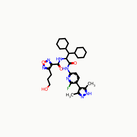 Cc1n[nH]c(C)c1-c1ccc(NC(=O)C(NC(=O)c2nonc2CCCO)C(C2CCCCC2)C2CCCCC2)nc1F